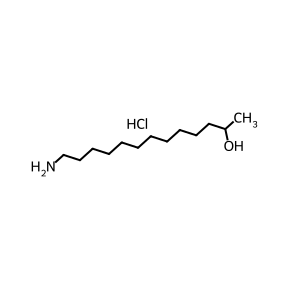 CC(O)CCCCCCCCCCCN.Cl